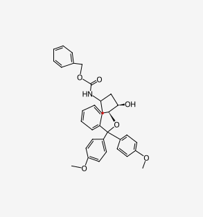 COc1ccc(C(O[C@H]2CC(NC(=O)OCc3ccccc3)C[C@H]2O)(c2ccccc2)c2ccc(OC)cc2)cc1